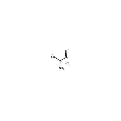 C=C[CH](N)[Cu].Cl